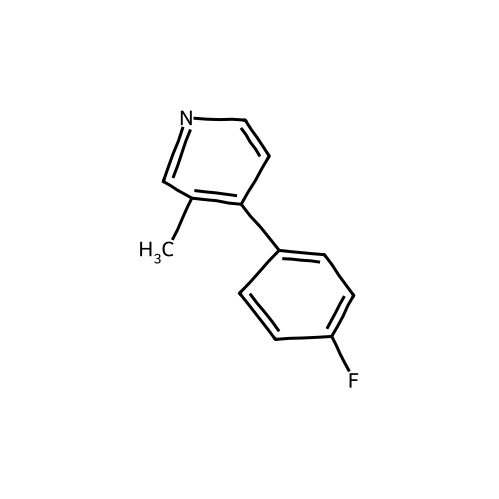 Cc1cnccc1-c1ccc(F)cc1